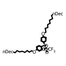 CCCCCCCCCCCCCCCCCCOc1ccc([I+](OS(=O)(=O)C(F)(F)F)c2ccc(OCCCCCCCCCCCCCCCCCC)cc2)cc1